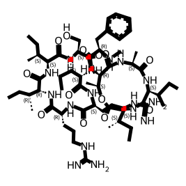 CCC(C)[C@@H]1NC(=O)[C@H](C)NC(=O)[C@H](NC(=O)[C@H](CO)NC(=O)[C@@H](NC(=O)[C@H](NC(=O)[C@@H](CCCNC(=N)N)NC(=O)[C@H](CCCNC(=N)N)NC(=O)[C@@H](NC(=O)[C@@H](Cc2ccccc2)NC)[C@@H](C)CC)[C@H](C)CC)[C@@H](C)CC)[C@H](C)OC(=O)[C@H]([C@@H](C)CC)NC1=O